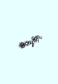 CC(C)(C)OC(=O)NC/C(=C/F)COc1ccc(B2OC(C)(C)C(C)(C)O2)cc1